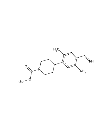 Cc1cc(C=N)c(N)cc1C1CCN(C(=O)OC(C)(C)C)CC1